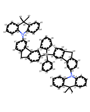 CC1(C)c2ccccc2N(c2ccc3c(c2)-c2cc([Si](c4ccccc4)(c4ccccc4)c4ccc5c(c4)-c4cc(N6c7ccccc7C(C)(C)c7ccccc76)ccc4C5)ccc2C3)c2ccccc21